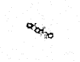 CN(c1ccc(Cl)c(C(=O)NCC2(O)CCCCC2)c1)c1ccccc1F